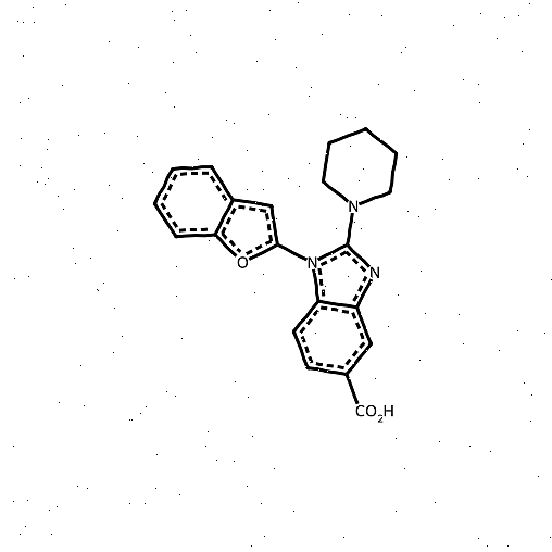 O=C(O)c1ccc2c(c1)nc(N1CCCCC1)n2-c1cc2ccccc2o1